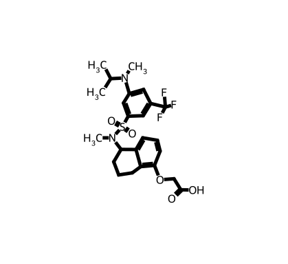 CC(C)N(C)c1cc(C(F)(F)F)cc(S(=O)(=O)N(C)C2CCCc3c(OCC(=O)O)cccc32)c1